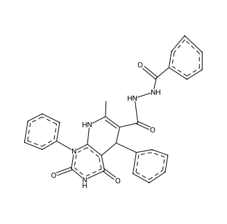 CC1=C(C(=O)NNC(=O)c2ccccc2)C(c2ccccc2)c2c(n(-c3ccccc3)c(=O)[nH]c2=O)N1